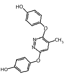 Cc1cc(Oc2ccc(O)cc2)nnc1Oc1ccc(O)cc1